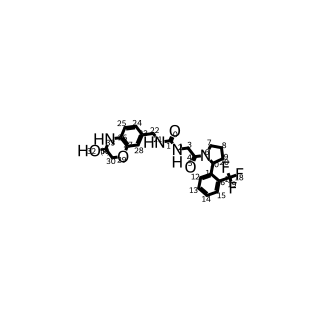 O=C(NCC(=O)N1CCCC1c1ccccc1C(F)(F)F)NCc1ccc2c(c1)OC[C@@H](O)N2